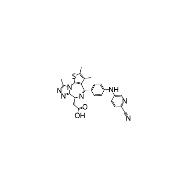 Cc1sc2c(c1C)C(c1ccc(Nc3ccc(C#N)nc3)cc1)=N[C@@H](CC(=O)O)c1nnc(C)n1-2